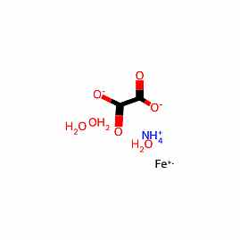 O.O.O.O=C([O-])C(=O)[O-].[Fe+].[NH4+]